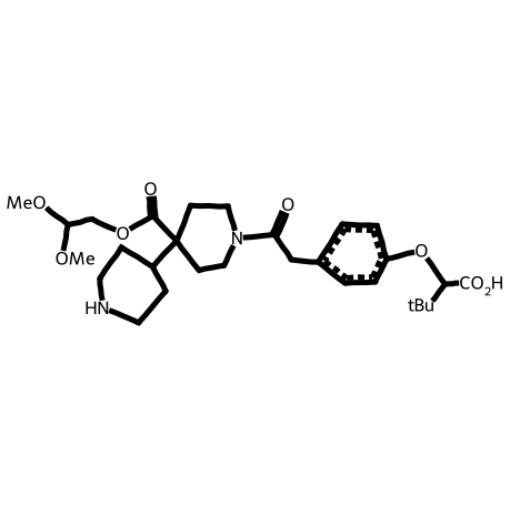 COC(COC(=O)C1(C2CCNCC2)CCN(C(=O)Cc2ccc(OC(C(=O)O)C(C)(C)C)cc2)CC1)OC